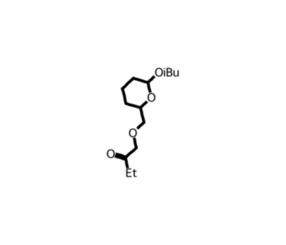 CCC(=O)COCC1CCCC(OCC(C)C)O1